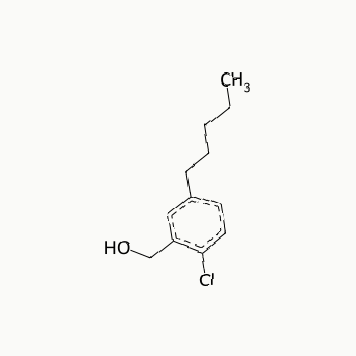 CCCCCc1ccc(Cl)c(CO)c1